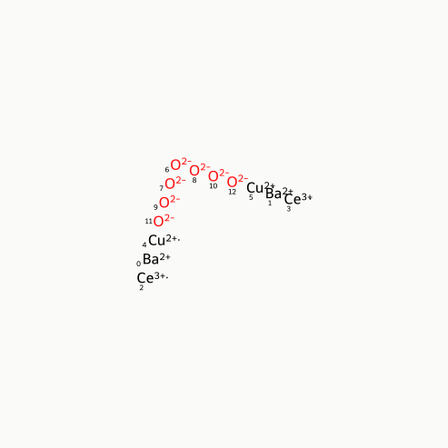 [Ba+2].[Ba+2].[Ce+3].[Ce+3].[Cu+2].[Cu+2].[O-2].[O-2].[O-2].[O-2].[O-2].[O-2].[O-2]